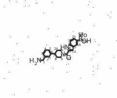 NCc1cccc(C2CCN(C(=O)c3cc4cc([B](O)[Ho])ccc4[nH]3)CC2)c1